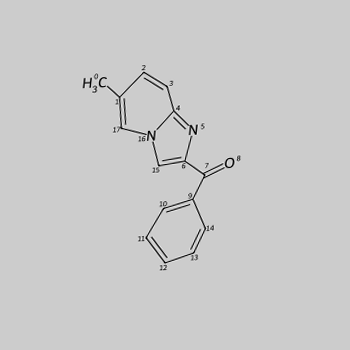 Cc1ccc2nc(C(=O)c3ccccc3)cn2c1